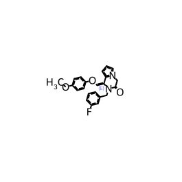 COc1ccc(O/C=C2\c3cccn3CC(=O)N2Cc2cccc(F)c2)cc1